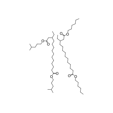 CCC(CCCCCCCCCCC(=O)OCCCC(C)C)CC(=O)OCCCC(C)C.CCCCCCOC(=O)CCCCCCCCCCC(CC)CC(=O)OCCCCCC